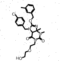 Cc1cccc(COC2=NC3(C)C(C(=O)N(CCOCCO)C(=O)N3C)N2Cc2ccc(Cl)cc2)c1